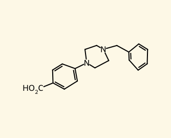 O=C(O)c1ccc(N2CCN(Cc3ccccc3)CC2)cc1